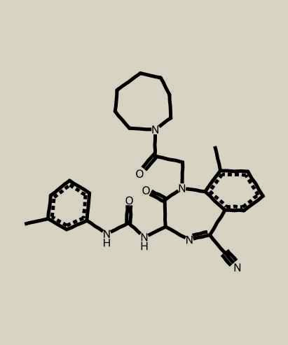 Cc1cccc(NC(=O)NC2N=C(C#N)c3cccc(C)c3N(CC(=O)N3CCCCCCC3)C2=O)c1